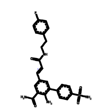 NC(=O)c1cc(/C=C/C(=O)NCCc2ccc(F)cc2)cc(-c2ccc(S(N)(=O)=O)cc2)c1N